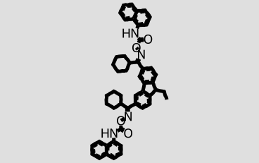 CCC1c2ccc(/C(=N/OC(=O)Nc3cccc4ccccc34)C3CCCCC3)cc2-c2cc(/C(=N/OC(=O)Nc3cccc4ccccc34)C3CCCCC3)ccc21